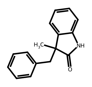 CC1(Cc2ccccc2)C(=O)Nc2ccccc21